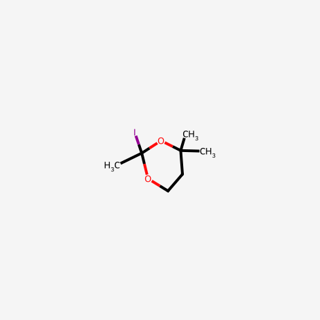 CC1(C)CCOC(C)(I)O1